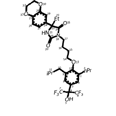 CCCc1cc(C(O)(C(F)(F)F)C(F)(F)F)cc(CC(C)C)c1OCCCCN1C(=O)NC(CC)(c2ccc3c(c2)OCCO3)C1=O